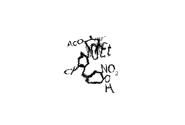 CC[C@H]1O[C@@H](c2ccc(Cl)c(Cc3ccc(O)c([N+](=O)[O-])c3)c2)C(OC(C)=O)C(C)[C@@H]1C